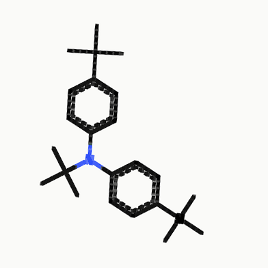 CC(C)(C)c1ccc(N(c2ccc([Si](C)(C)C)cc2)C(C)(C)C)cc1